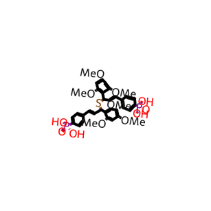 COc1cc(OC)c(C(C=Cc2ccc(P(=O)(O)O)cc2)SC(C=Cc2ccc(P(=O)(O)O)cc2)c2c(OC)cc(OC)cc2OC)c(OC)c1